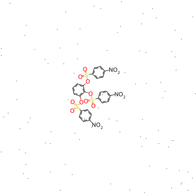 O=[N+]([O-])c1ccc(S(=O)(=O)Oc2cccc(OS(=O)(=O)c3ccc([N+](=O)[O-])cc3)c2OS(=O)(=O)c2ccc([N+](=O)[O-])cc2)cc1